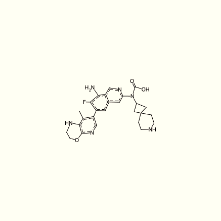 Cc1c(-c2cc3cc(N(C(=O)O)C4CC5(CCNCC5)C4)ncc3c(N)c2F)cnc2c1NCCO2